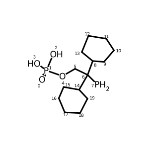 O=P(O)(O)OCC(P)(C1CCCCC1)C1CCCCC1